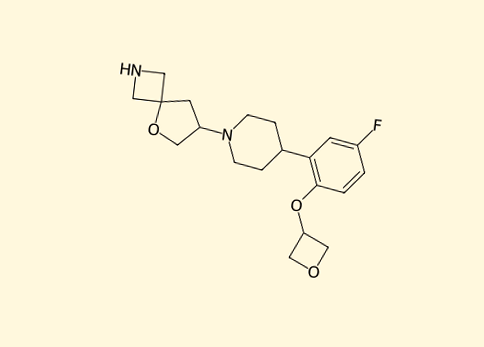 Fc1ccc(OC2COC2)c(C2CCN(C3COC4(CNC4)C3)CC2)c1